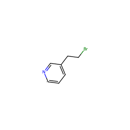 BrCCc1cc[c]nc1